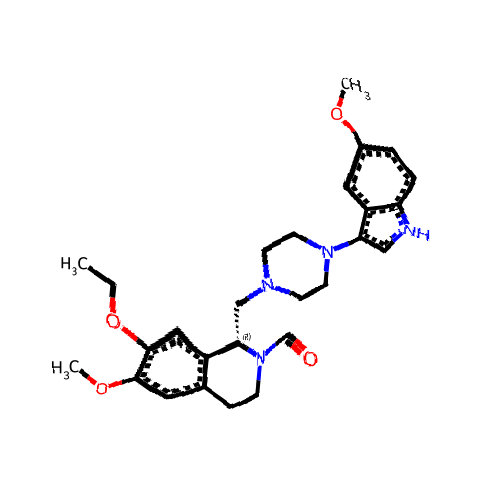 CCOc1cc2c(cc1OC)CCN(C=O)[C@H]2CN1CCN(c2c[nH]c3ccc(OC)cc23)CC1